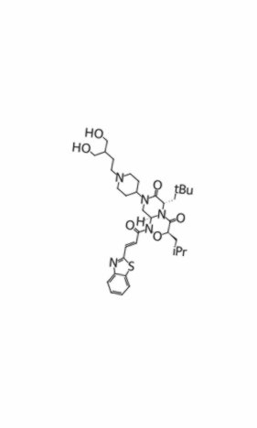 CC(C)C[C@H]1ON(C(=O)/C=C/c2nc3ccccc3s2)[C@H]2CN(C3CCN(CCC(CO)CO)CC3)C(=O)[C@H](CC(C)(C)C)N2C1=O